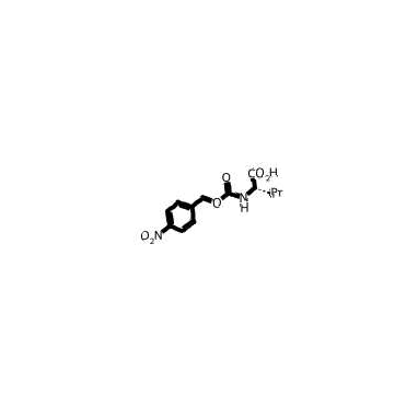 CC(C)[C@H](NC(=O)OCc1ccc([N+](=O)[O-])cc1)C(=O)O